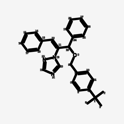 CC(C)(C)c1ccc(COC(C(=Cc2ccccc2)n2cncn2)c2ccccc2)cc1